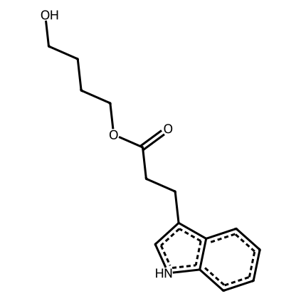 O=C(CCc1c[nH]c2ccccc12)OCCCCO